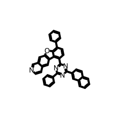 c1ccc(-c2nc(-c3ccc4ccccc4c3)nc(-c3ccc(-c4ccccc4)c4oc5cc6cnccc6cc5c34)n2)cc1